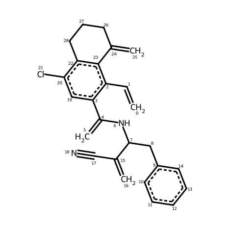 C=Cc1c(C(=C)NC(Cc2ccccc2)C(=C)C#N)cc(Cl)c2c1C(=C)CCC2